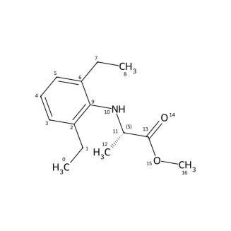 CCc1cccc(CC)c1N[C@@H](C)C(=O)OC